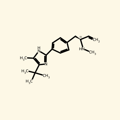 C=C[C@H](Cc1ccc(-c2nc(C(C)(C)C)c(C)[nH]2)cc1)NC